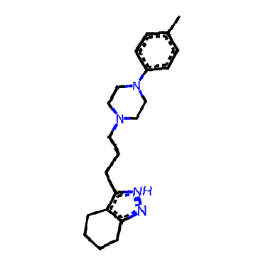 Cc1ccc(N2CCN(CCCc3[nH]nc4c3CCCC4)CC2)cc1